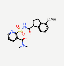 COc1cccc2c1CCC2C(=O)NS(=O)(=O)c1ncccc1C(=O)N(C)C